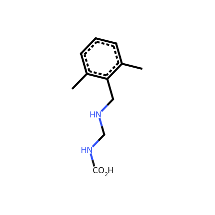 Cc1cccc(C)c1CNCNC(=O)O